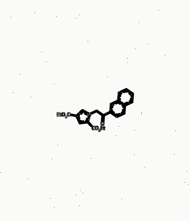 CCOC(=O)c1cc(C(=O)OCC)n(CC(=O)c2ccc3ccccc3c2)c1